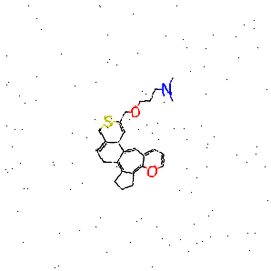 CN(C)CCCOCC1=CC2C(=CCC3=C4CCCC4=C4OC=CC=C4C=C32)CS1